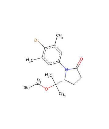 Cc1cc(N2C(=O)CC[C@@H]2C(C)(C)O[SiH2]C(C)(C)C)cc(C)c1Br